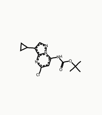 CC(C)(C)OC(=O)Nc1cc(Cl)nc2c(C3CC3)cnn12